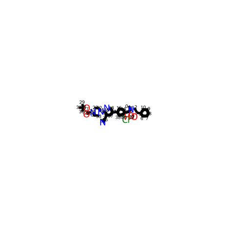 CN(CC(O)c1ccccc1)C(=O)c1ccc(-c2cnc(N3CCN(C(=O)OC(C)(C)C)CC3)c(C#N)c2)cc1Cl